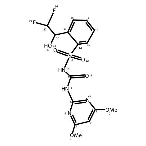 COc1cc(OC)nc(NC(=O)NS(=O)(=O)c2ccccc2C(O)C(F)F)n1